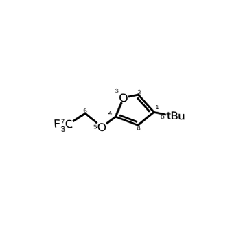 CC(C)(C)c1coc(OCC(F)(F)F)c1